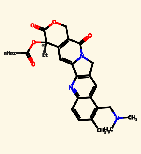 CCCCCCC(=O)O[C@]1(CC)C(=O)OCc2c1cc1n(c2=O)Cc2cc3c(CN(C)C)c(C)ccc3nc2-1